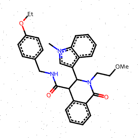 CCOc1ccc(CNC(=O)C2c3ccccc3C(=O)N(CCOC)C2c2cn(C)c3ccccc23)cc1